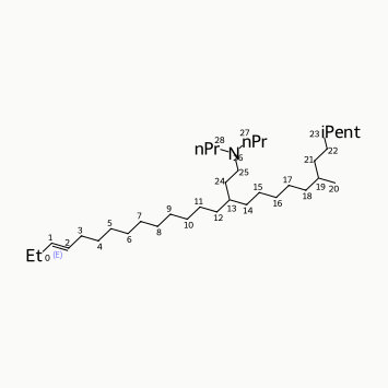 CC/C=C/CCCCCCCCCCC(CCCCCC(C)CCC(C)CCC)CCN(CCC)CCC